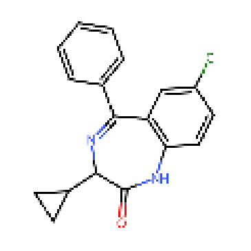 O=C1Nc2ccc(Cl)cc2C(c2ccccc2)=NC1C1CC1